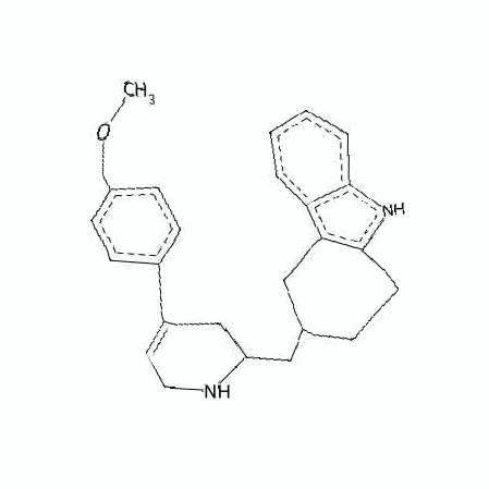 COc1ccc(C2=CCNC(CC3CCc4[nH]c5ccccc5c4C3)C2)cc1